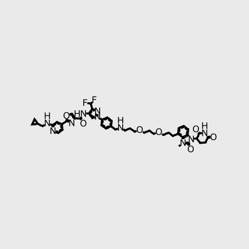 Cn1c(=O)n(C2CCC(=O)NC2=O)c2cccc(CCCOCCCOCCCNCc3ccc(-n4cc(NC(=O)c5coc(-c6ccnc(NCC7CC7)c6)n5)c(C(F)F)n4)cc3)c21